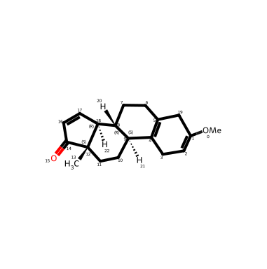 COC1=CCC2=C(CC[C@@H]3[C@@H]2CC[C@]2(C)C(=O)C=C[C@@H]32)C1